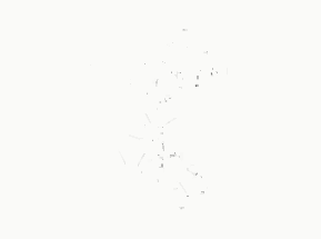 CCCCCC(=O)[N+](C)(Cc1ccc(-c2ccccc2S(=O)(=O)Nc2noc(C)c2C)cc1)[C@H](C(N)=O)[C@@H](C)CC